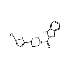 O=C(c1cc2ccccc2[nH]1)N1CCN(c2ccc(Cl)s2)CC1